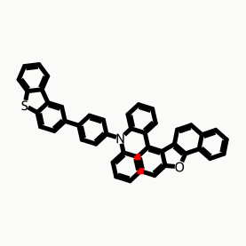 c1ccc(N(c2ccc(-c3ccc4sc5ccccc5c4c3)cc2)c2ccccc2-c2cccc3oc4c5ccccc5ccc4c23)cc1